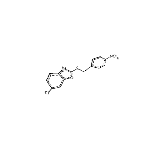 O=[N+]([O-])c1ccc(CSc2nc3ccc(Cl)cc3o2)cc1